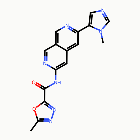 Cc1nnc(C(=O)Nc2cc3cc(-c4cncn4C)ncc3cn2)o1